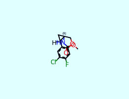 COC(=O)N[C@@]12COc3cc(F)c(Cl)cc3[C@@H]1C2